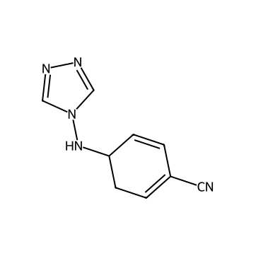 N#CC1=CCC(Nn2cnnc2)C=C1